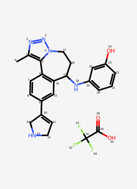 Cc1nnn2c1-c1ccc(C3=CCNC3)cc1C(Nc1cccc(O)c1)CC2.O=C(O)C(F)(F)F